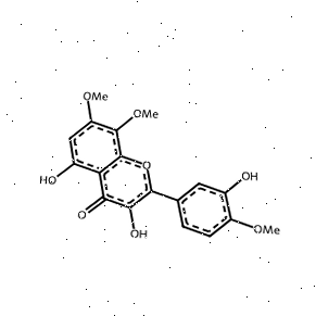 COc1ccc(-c2oc3c(OC)c(OC)cc(O)c3c(=O)c2O)cc1O